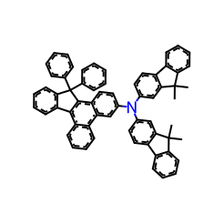 CC1(C)c2ccccc2-c2ccc(N(c3ccc4c(c3)C(C)(C)c3ccccc3-4)c3ccc4c5c(c6ccccc6c4c3)-c3ccccc3C5(c3ccccc3)c3ccccc3)cc21